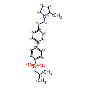 CC(C)CS(=O)(=O)c1ccc(-c2ccc(CCN3CCC[C@H]3C)cc2)cc1